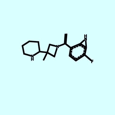 C=C(c1ccc(F)c2c1N2)N1CC(C)(C2CCCCN2)C1